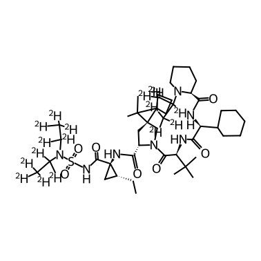 [2H]C([2H])([2H])C([2H])([2H])N(C([2H])([2H])C([2H])([2H])[2H])S(=O)(=O)NC(=O)[C@@]1(NC(=O)[C@@H]2C[C@@]3(CN2C(=O)[C@@H](NC(=O)[C@@H](NC(=O)[C@@H]2CCCCN2C([2H])(C([2H])([2H])[2H])C([2H])([2H])[2H])C2CCCCC2)C(C)(C)C)C(C)(C)C32CCC2)C[C@H]1CC